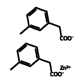 Cc1cccc(CC(=O)[O-])c1.Cc1cccc(CC(=O)[O-])c1.[Zn+2]